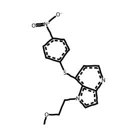 COCCn1ccc2nccc(Sc3ccc([N+](=O)[O-])cc3)c21